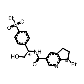 CC[C@@H]1CCc2cc(C(=O)N[C@@H](CO)c3ccc(S(=O)(=O)CC)cc3)cnc21